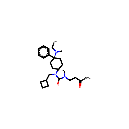 CNC(=O)CCN1C[C@]2(CC[C@](c3ccccc3)(N(C)CC(C)C)CC2)N(CC2CCC2)C1O